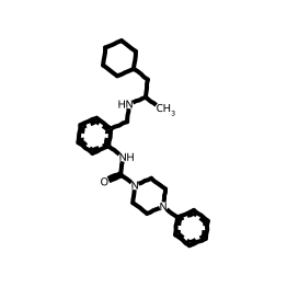 CC(CC1CCCCC1)NCc1ccccc1NC(=O)N1CCN(c2ccccc2)CC1